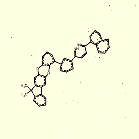 CC1(C)c2ccccc2-c2cc3c(cc21)Oc1cccc(-c2cccc(C(=N)/C=C\C(=N)c4cccc5ccccc45)c2)c1O3